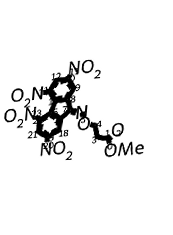 COC(=O)CCON=C1c2cc([N+](=O)[O-])cc([N+](=O)[O-])c2-c2c1cc([N+](=O)[O-])cc2[N+](=O)[O-]